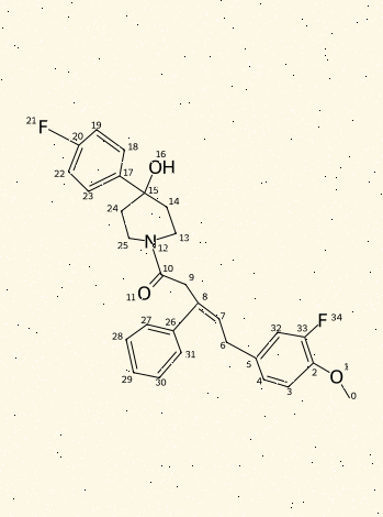 COc1ccc(C/C=C(/CC(=O)N2CCC(O)(c3ccc(F)cc3)CC2)c2ccccc2)cc1F